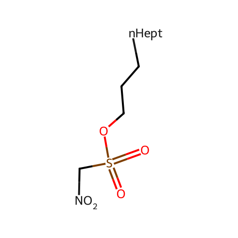 CCCCCCCCCCOS(=O)(=O)C[N+](=O)[O-]